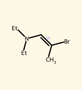 CCN(/C=C(\C)Br)CC